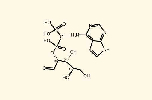 Nc1ncnc2[nH]cnc12.O=C[C@H](OP(=O)(O)OP(=O)(O)O)[C@H](O)[C@H](O)CO